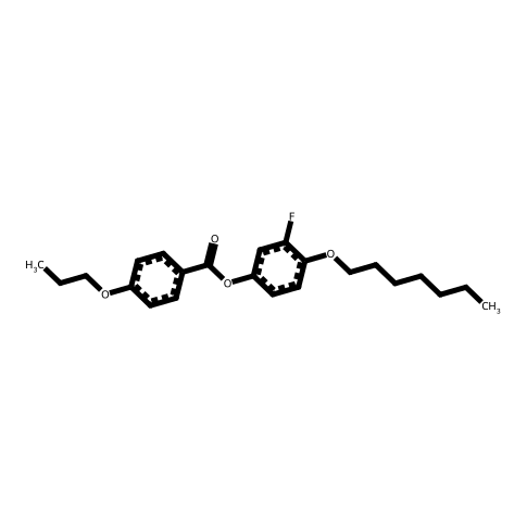 CCCCCCCOc1ccc(OC(=O)c2ccc(OCCC)cc2)cc1F